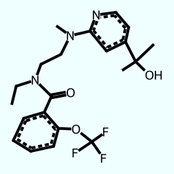 CCN(CCN(C)c1cc(C(C)(C)O)ccn1)C(=O)c1ccccc1OC(F)(F)F